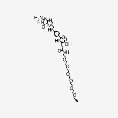 C#CCOCCOCCOCCOCCOCCOCCNC(=O)CC[C@@H](NC(=O)c1ccc(NCc2cnc3nc(N)[nH]c(=O)c3n2)cc1)C(=O)O